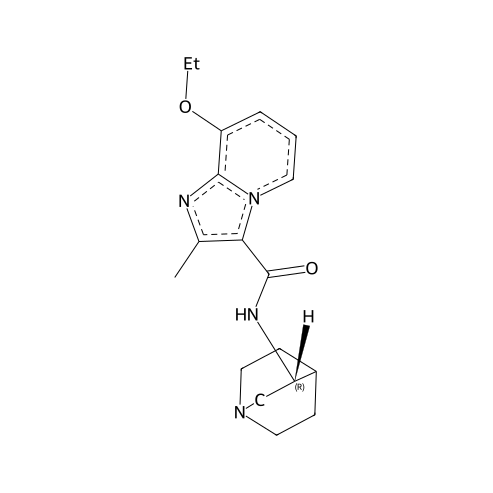 CCOc1cccn2c(C(=O)N[C@H]3CN4CCC3CC4)c(C)nc12